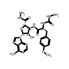 COc1ccc(C[C@H](NC(=O)NN)C(=O)N[C@H]2[C@@H](O)[C@H](n3cnc4c(N)ncnc43)O[C@@H]2C(=O)NN)cc1